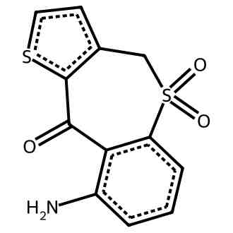 Nc1cccc2c1C(=O)c1sccc1CS2(=O)=O